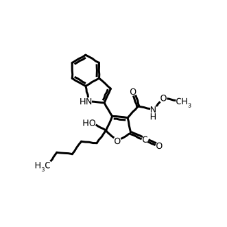 CCCCCC1(O)OC(=C=O)C(C(=O)NOC)=C1c1cc2ccccc2[nH]1